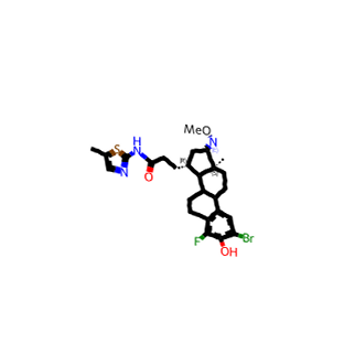 CO/N=C1\C[C@@H](CCC(=O)Nc2ncc(C)s2)C2C3CCc4c(cc(Br)c(O)c4F)C3CC[C@]12C